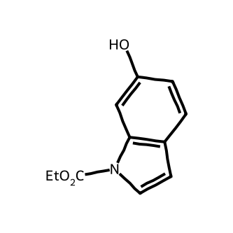 CCOC(=O)n1ccc2ccc(O)cc21